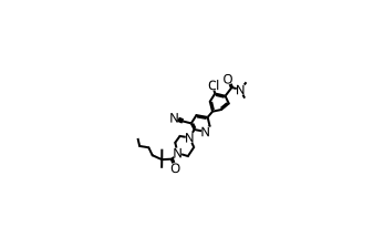 CCCCC(C)(C)C(=O)N1CCN(c2ncc(-c3ccc(C(=O)N(C)C)c(Cl)c3)cc2C#N)CC1